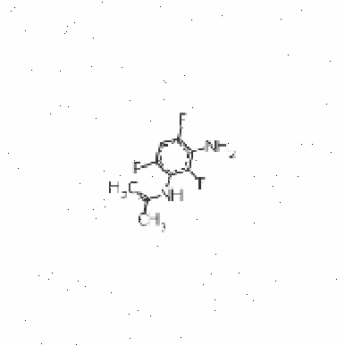 C=C(C)Nc1c(F)cc(F)c(N)c1F